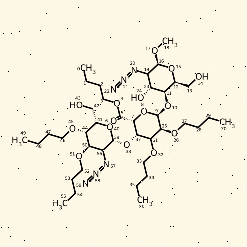 CCCCOC(=O)[C@@H]1O[C@@H](O[C@@H]2[C@H](CO)O[C@H](OC)C(N=[N+]=[N-])[C@H]2O)[C@@H](OCCCC)C(OCCCC)[C@@H]1O[C@H]1O[C@@H](CO)[C@@H](OCCCC)[C@H](OCCCC)C1N=[N+]=[N-]